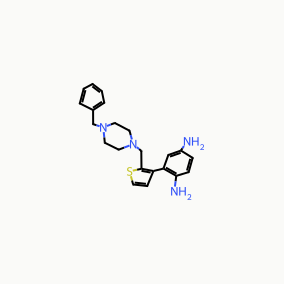 Nc1ccc(N)c(-c2ccsc2CN2CCN(Cc3ccccc3)CC2)c1